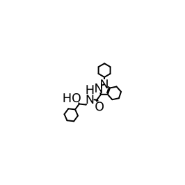 O=C(NCC(O)C1CCCCC1)c1nn(C2CCCCC2)c2c1CCCC2